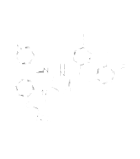 NC(=O)CN1C(=O)C(NC(=O)[C@@H](Cc2ccc(F)c(F)c2)c2ccc(F)cc2)N=C(c2ccncc2)c2ccccc21